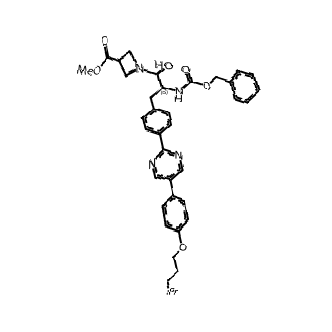 COC(=O)C1CN(C(O)[C@H](Cc2ccc(-c3ncc(-c4ccc(OCCCC(C)C)cc4)cn3)cc2)NC(=O)OCc2ccccc2)C1